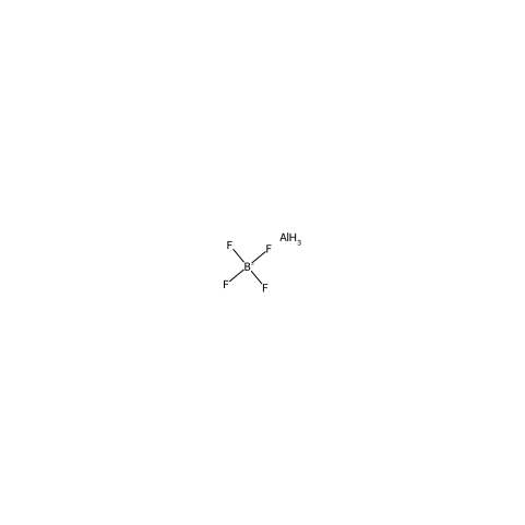 F[B-](F)(F)F.[AlH3]